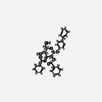 O=C(O[C@@H]1[C@@H](Oc2ccc(-c3ccccc3)cc2)O[C@H](CO)[C@@H](O)[C@@H]1OC(=O)c1ccccc1)c1ccccc1